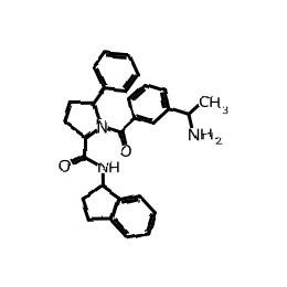 CC(N)c1cccc(C(=O)N2C(C(=O)NC3CCc4ccccc43)CCC2c2ccccc2)c1